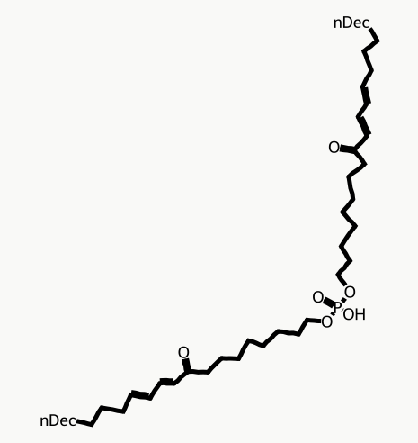 CCCCCCCCCCCCCC=CC=CC(=O)CCCCCCCCOP(=O)(O)OCCCCCCCCC(=O)C=CC=CCCCCCCCCCCCCC